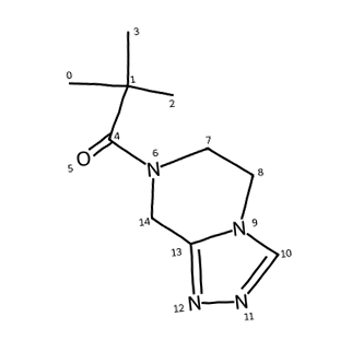 CC(C)(C)C(=O)N1CCn2cnnc2C1